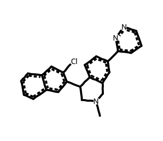 CN1Cc2cc(-c3cccnn3)ccc2C(c2cc3ccccc3cc2Cl)C1